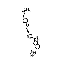 COCCc1ccc(OCC#Cc2cc(-c3n[nH]c4c3Cc3cc(Cn5cncn5)ccc3-4)cs2)cc1